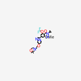 COc1cc(-c2cnc3cc(OCCN4CCOC(C)(C)C4)ccn23)cc(OC(F)F)c1C(=O)NC1CC1